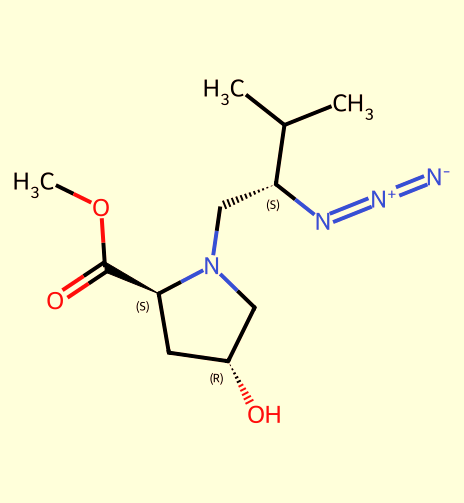 COC(=O)[C@@H]1C[C@@H](O)CN1C[C@@H](N=[N+]=[N-])C(C)C